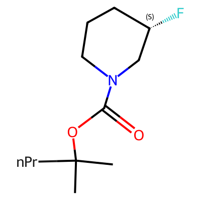 CCCC(C)(C)OC(=O)N1CCC[C@H](F)C1